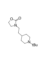 CC(C)(C)N1CCC(CCN2CCOC2=O)CC1